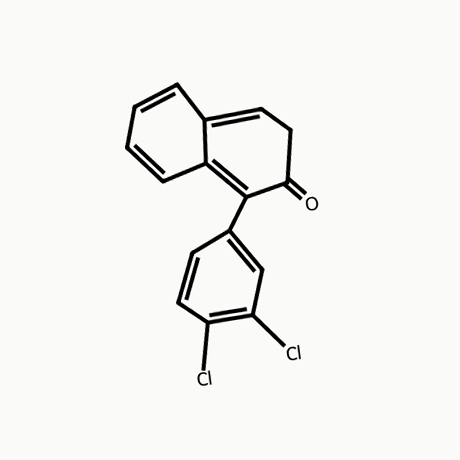 O=C1CC=c2ccccc2=C1c1ccc(Cl)c(Cl)c1